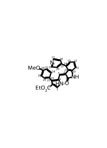 CCOC(=O)c1c[nH]c(/C=C2\C(=O)Nc3cccc(-c4ccncc4)c32)c1-c1ccc(OC)cc1